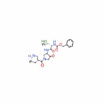 CC(C)C[C@@H](CN)C(=O)N1CC(=O)C(NC(=O)[C@H](CC(C)C)NC(=O)OCc2ccccc2)C1.Cl